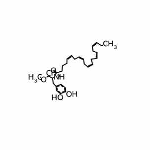 C=C(OC)C(Cc1ccc(O)c(O)c1)NC(=O)CCC/C=C\C/C=C\C/C=C\C/C=C\C/C=C\CC